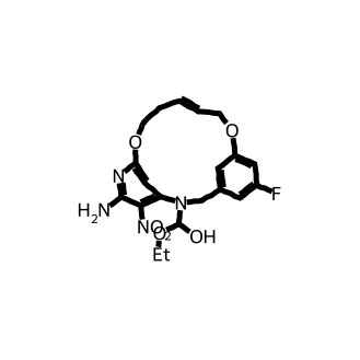 CCOC(O)N1Cc2cc(F)cc(c2)OC/C=C/CCOc2cc1c([N+](=O)[O-])c(N)n2